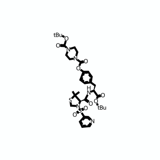 CC(C)(C)OC(=O)[C@H](Cc1ccc(OC(=O)N2CCN(C(=O)OC(C)(C)C)CC2)cc1)NC(=O)[C@H]1N(S(=O)(=O)c2cccnc2)CSC1(C)C